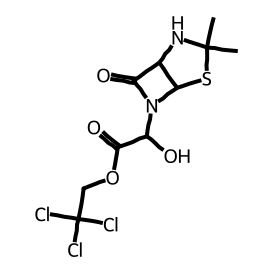 CC1(C)NC2C(=O)N(C(O)C(=O)OCC(Cl)(Cl)Cl)C2S1